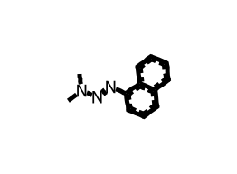 CN(C)N=Nc1cccc2ccccc12